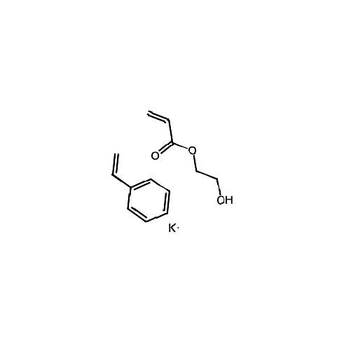 C=CC(=O)OCCO.C=Cc1ccccc1.[K]